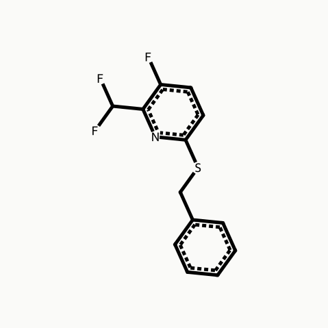 Fc1ccc(SCc2ccccc2)nc1C(F)F